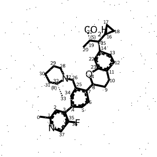 Cc1cc(-c2ccc(C3CCc4ccc([C@H](C5CC5)[C@H](C)C(=O)O)cc4O3)c(CN3CCCC[C@H]3C)c2)c(F)cn1